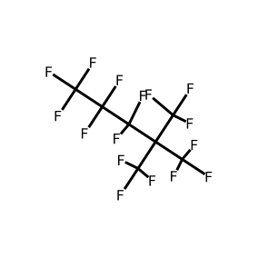 FC(F)(F)C(F)(F)C(F)(F)C(C(F)(F)F)(C(F)(F)F)C(F)(F)F